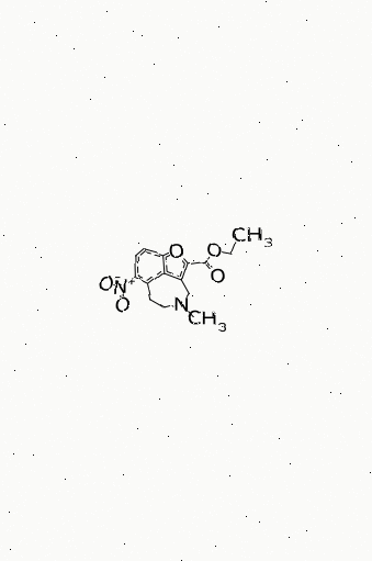 CCOC(=O)c1oc2ccc([N+](=O)[O-])c3c2c1CN(C)CC3